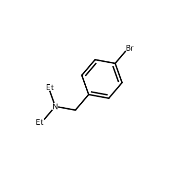 [CH2]CN(CC)Cc1ccc(Br)cc1